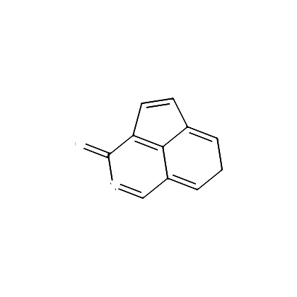 O=C1N=CC2=CCC=C3C=CC1=C32